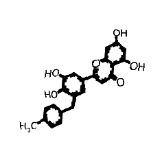 Cc1ccc(Cc2cc(-c3cc(=O)c4c(O)cc(O)cc4o3)cc(O)c2O)cc1